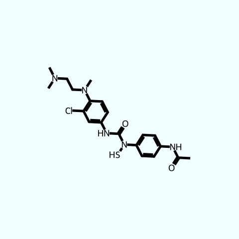 CC(=O)Nc1ccc(N(S)C(=O)Nc2ccc(N(C)CCN(C)C)c(Cl)c2)cc1